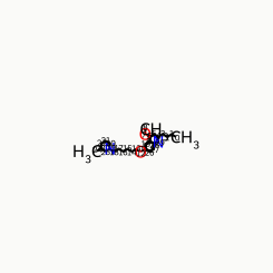 CCCCc1cc(OC)c2cc(OCCCCCCN3CCCC(C)C3)ccc2n1